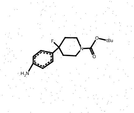 CC(C)(C)OC(=O)N1CCC(F)(c2ccc(N)cc2)CC1